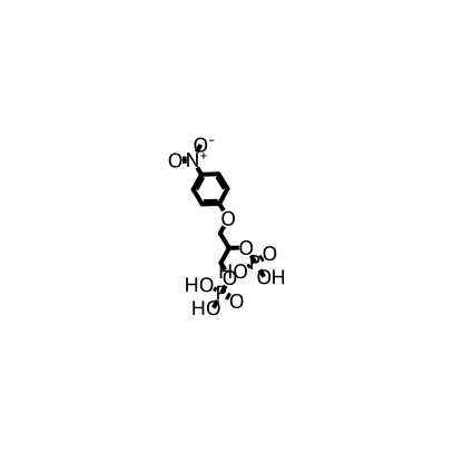 O=[N+]([O-])c1ccc(OCC(COP(=O)(O)O)OP(=O)(O)O)cc1